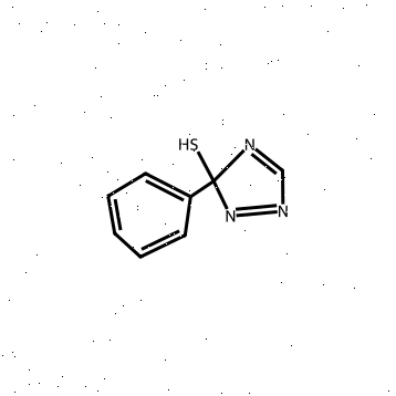 SC1(c2ccccc2)N=CN=N1